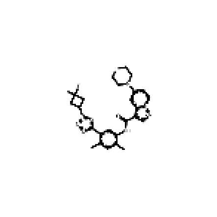 Cc1cc(C)c(-c2nnn(C3CC(F)(F)C3)n2)cc1NC(=O)c1cnn2ccc(N3CCOCC3)cc12